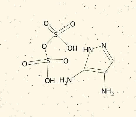 Nc1cn[nH]c1N.O=S(=O)(O)OS(=O)(=O)O